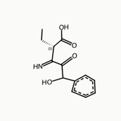 CC[C@@H](C(=N)C(=O)C(O)c1ccccc1)C(=O)O